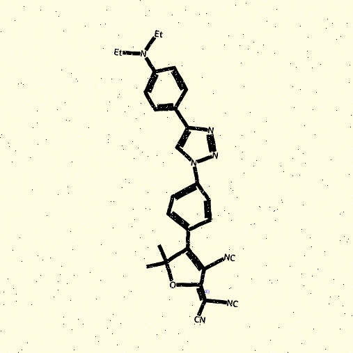 [C-]#[N+]C1=C(c2ccc(-n3cc(-c4ccc(N(CC)CC)cc4)nn3)cc2)C(C)(C)O/C1=C(\C#N)[N+]#[C-]